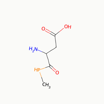 CPC(=O)C(N)CC(=O)O